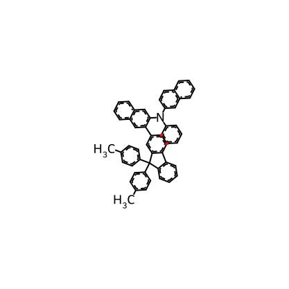 Cc1ccc(C2(c3ccc(C)cc3)c3ccccc3-c3ccc(-c4cc5ccccc5cc4N(c4ccccc4)c4ccc5ccccc5c4)cc32)cc1